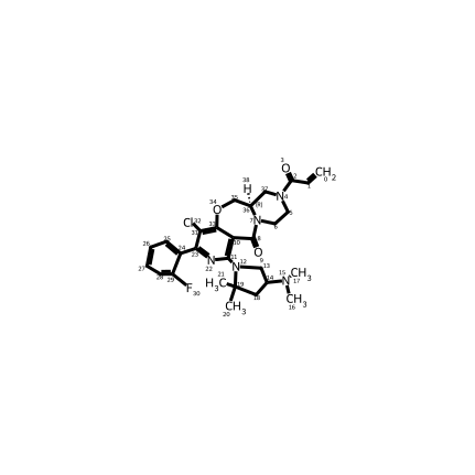 C=CC(=O)N1CCN2C(=O)c3c(N4CC(N(C)C)CC4(C)C)nc(-c4ccccc4F)c(Cl)c3OC[C@H]2C1